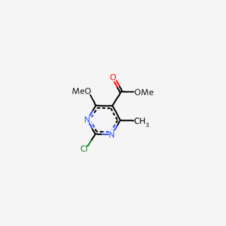 COC(=O)c1c(C)nc(Cl)nc1OC